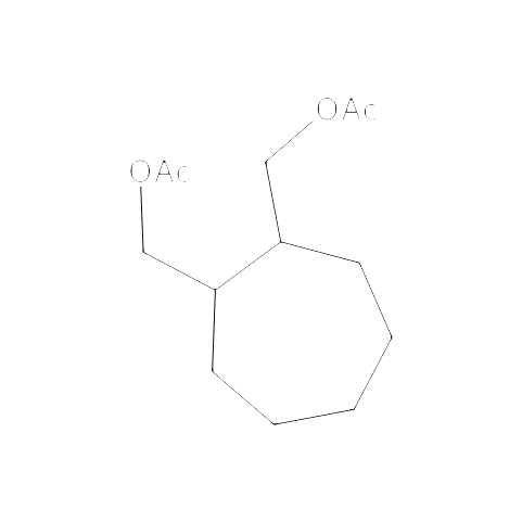 CC(=O)OCC1CCCCCC1COC(C)=O